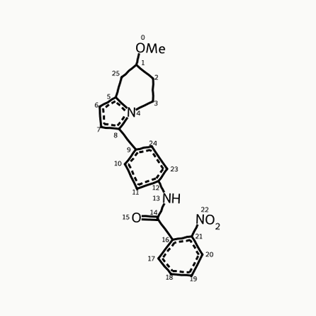 COC1CCn2c(ccc2-c2ccc(NC(=O)c3ccccc3[N+](=O)[O-])cc2)C1